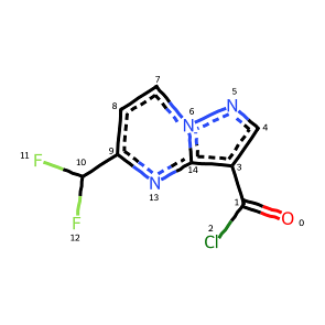 O=C(Cl)c1cnn2ccc(C(F)F)nc12